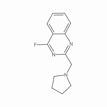 Fc1nc(CN2CCCC2)nc2ccccc12